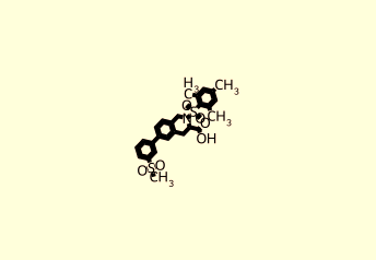 Cc1cc(C)c(S(=O)(=O)N2Cc3ccc(-c4cccc(S(C)(=O)=O)c4)cc3CC2C(=O)O)c(C)c1